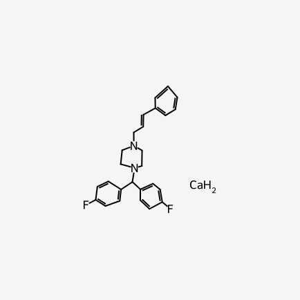 Fc1ccc(C(c2ccc(F)cc2)N2CCN(C/C=C/c3ccccc3)CC2)cc1.[CaH2]